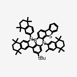 Cc1cc2c(cc1N1c3cc(C(C)(C)C)cc4c3B(c3ccc5c(sc6ccccc65)c31)N(c1ccc3c(c1)C(C)(C)CCC3(C)C)c1cc3c(cc1-4)C(C)(C)CCC3(C)C)C(C)(C)CCC2(C)C